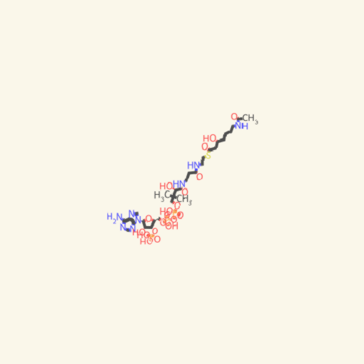 CC(=O)NCCCCC(O)CC(=O)SCCNC(=O)CCNC(=O)[C@H](O)C(C)(C)COP(=O)(O)OP(=O)(O)OC[C@H]1O[C@@H](n2cnc3c(N)ncnc32)[C@H](O)[C@@H]1OP(=O)(O)O